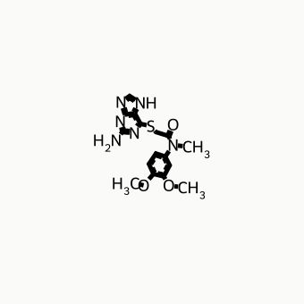 COc1ccc(N(C)C(=O)CSc2nc(N)nc3nc[nH]c23)cc1OC